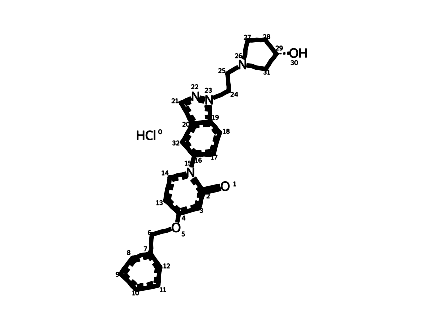 Cl.O=c1cc(OCc2ccccc2)ccn1-c1ccc2c(cnn2CCN2CC[C@H](O)C2)c1